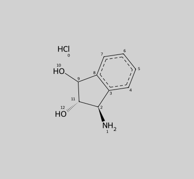 Cl.N[C@@H]1c2ccccc2C(O)[C@H]1O